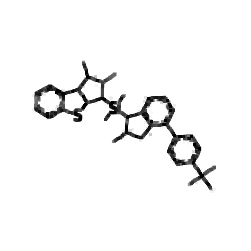 CC1Cc2c(-c3ccc(C(C)(C)C)cc3)cccc2C1[Si](C)(C)C1C(C)C(C)C2c3ccccc3SC21